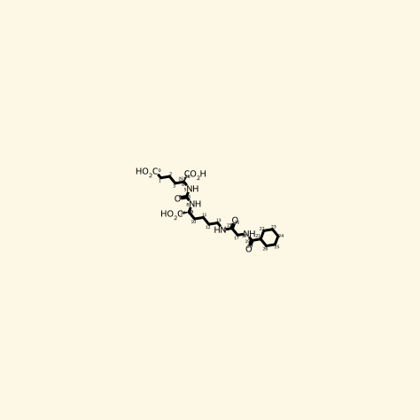 O=C(O)CCC[C@H](NC(=O)N[C@@H](CCCCNC(=O)CNC(=O)C1CCCCC1)C(=O)O)C(=O)O